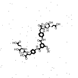 [N-]=[N+]=Nc1cc(C(=O)Nc2ccc(CC(NC(=O)N[C@@H](CCC(=O)O)C(=O)O)C(=O)O)cc2)cc(C(=O)Nc2ccc(CC(NC(=O)N[C@@H](CCC(=O)O)C(=O)O)C(=O)O)cc2)c1